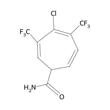 NC(=O)C1C=CC(C(F)(F)F)=C(Cl)C(C(F)(F)F)=C1